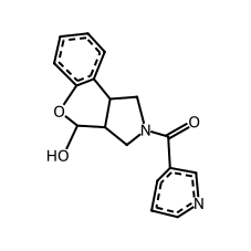 O=C(c1cccnc1)N1CC2c3ccccc3OC(O)C2C1